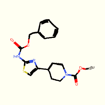 CC(C)(C)OC(=O)N1CCC(c2csc(NC(=O)OCc3ccccc3)n2)CC1